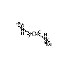 CC(C)(C)OC(=O)NCCCC(=O)N1CCN(C(=O)CCCNC(=O)OC(C)(C)C)CC1